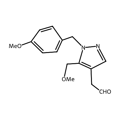 COCc1c(CC=O)cnn1Cc1ccc(OC)cc1